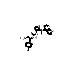 Cc1ccc(C(CN)NC(=O)Oc2ccsc2Nc2ccnc3[nH]ccc23)cc1